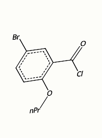 CCCOc1ccc(Br)cc1C(=O)Cl